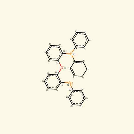 C1=CC(P(c2ccccc2)c2ccccc2Oc2ccccc2Pc2ccccc2)=CCC1